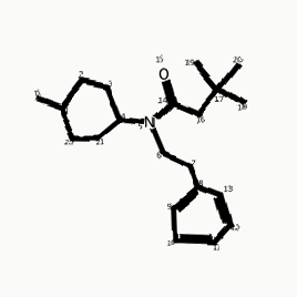 CC1CCC(N(CCc2ccccc2)C(=O)CC(C)(C)C)CC1